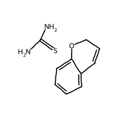 C1=Cc2ccccc2OC1.NC(N)=S